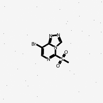 CS(=O)(=O)c1ncc(Br)c2nncn12